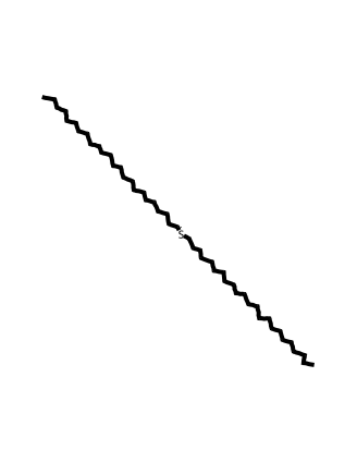 CCCCCCCCCCCCCCCCCCCCCCC[CH]SCCCCCCCCCCCCCCCCCCCCCCC